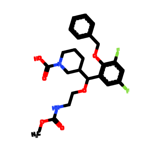 COC(=O)NCCOC(c1cc(F)cc(F)c1OCc1ccccc1)C1CCCN(C(=O)O)C1